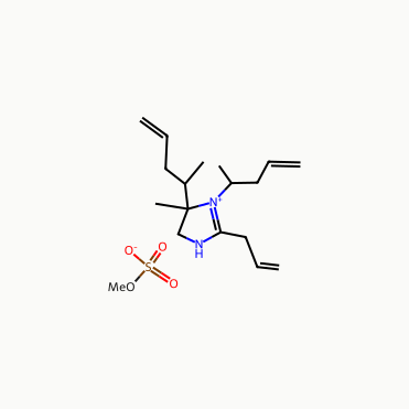 C=CCC1=[N+](C(C)CC=C)C(C)(C(C)CC=C)CN1.COS(=O)(=O)[O-]